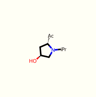 CC(=O)[C@H]1C[C@H](O)CN1C(C)C